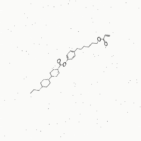 C=CC(=O)OCCCCCCc1ccc(OC(=O)C2CCC(C3CCC(CCC)CC3)CC2)cc1